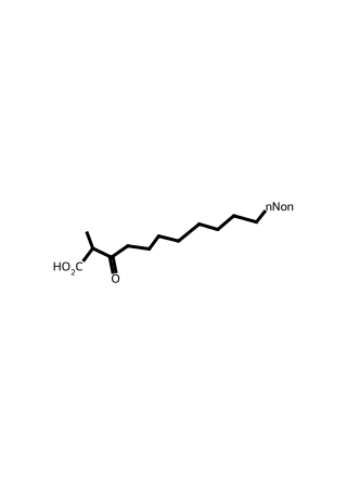 CCCCCCCCCCCCCCCCCC(=O)C(C)C(=O)O